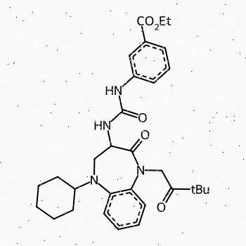 CCOC(=O)c1cccc(NC(=O)NC2CN(C3CCCCC3)c3ccccc3N(CC(=O)C(C)(C)C)C2=O)c1